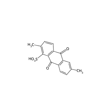 Cc1ccc2c(c1)C(=O)c1ccc(C)c(S(=O)(=O)O)c1C2=O